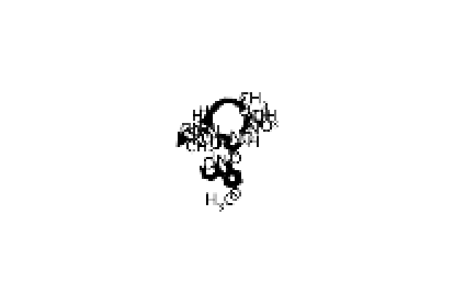 COc1ccc2c(O[C@@H]3C[C@H]4C(=O)N[C@]5(C(=O)NS(=O)(=O)C6(C)CC6)C[C@H]5C=CCC[C@@H](C)O[C@@H](C)[C@H](NC(=O)O)C(=O)N4C3)nc3c(c2c1)CCCO3